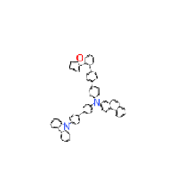 c1ccc2c(c1)ccc1cc(N(c3ccc(-c4ccc(-c5cccc6oc7ccccc7c56)cc4)cc3)c3ccc(-c4ccc(-n5c6ccccc6c6ccccc65)cc4)cc3)ccc12